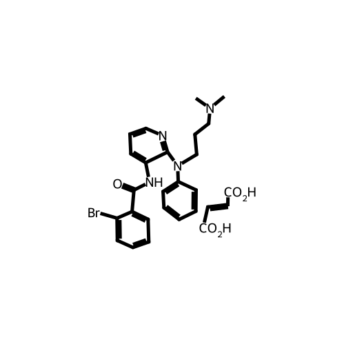 CN(C)CCCN(c1ccccc1)c1ncccc1NC(=O)c1ccccc1Br.O=C(O)C=CC(=O)O